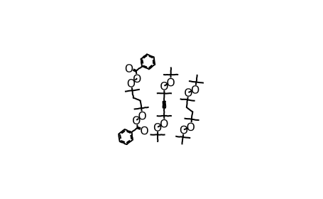 CC(C)(C)OOC(C)(C)C#CC(C)(C)OOC(C)(C)C.CC(C)(C)OOC(C)(C)CCC(C)(C)OOC(C)(C)C.CC(C)(CCC(C)(C)OOC(=O)c1ccccc1)OOC(=O)c1ccccc1